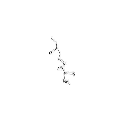 CCC(=O)CC=NNC(N)=S